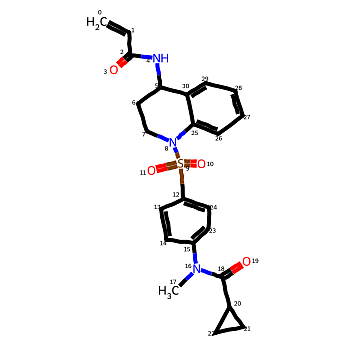 C=CC(=O)NC1CCN(S(=O)(=O)c2ccc(N(C)C(=O)C3CC3)cc2)c2ccccc21